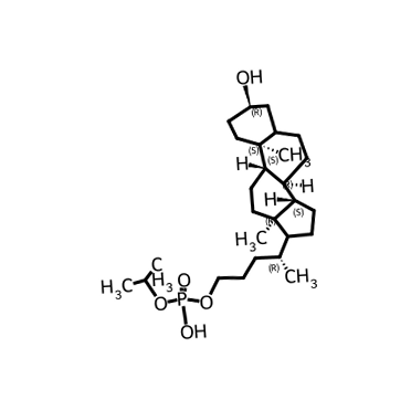 CC(C)OP(=O)(O)OCCC[C@@H](C)C1CC[C@H]2[C@@H]3CCC4C[C@H](O)CC[C@]4(C)[C@H]3CC[C@]12C